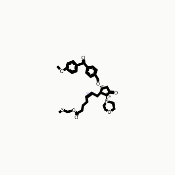 COc1ccc(C(=O)c2ccc(CO[C@@H]3CC(=O)[C@@H](N4CCOCC4)C3C/C=C\CCCC(=O)OCSC)cc2)cc1